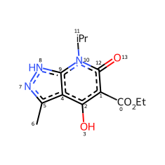 CCOC(=O)c1c(O)c2c(C)n[nH]c2n(C(C)C)c1=O